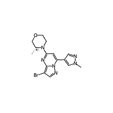 C[C@@H]1COCCN1c1cc(-c2cnn(C)c2)n2ncc(Br)c2n1